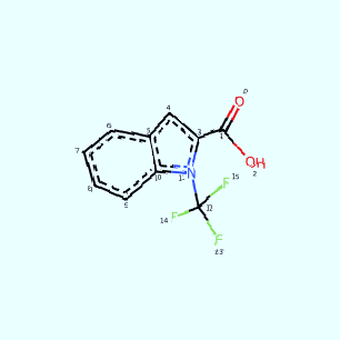 O=C(O)c1cc2ccccc2n1C(F)(F)F